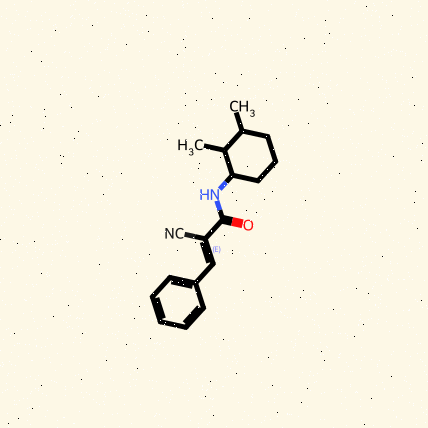 CC1CCCC(NC(=O)/C(C#N)=C/c2ccccc2)C1C